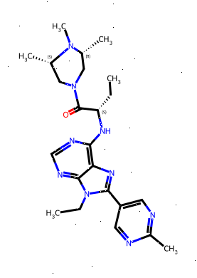 CC[C@H](Nc1ncnc2c1nc(-c1cnc(C)nc1)n2CC)C(=O)N1C[C@@H](C)N(C)[C@@H](C)C1